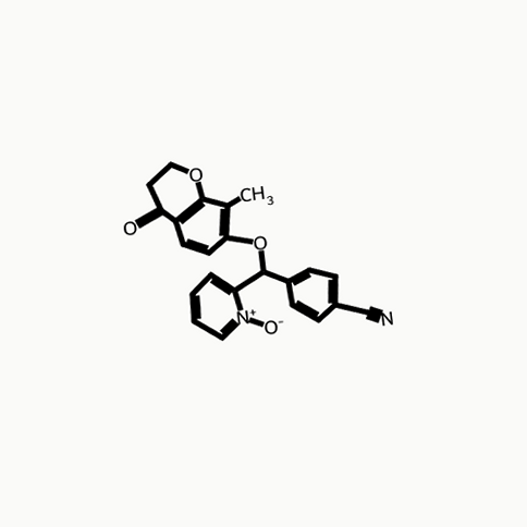 Cc1c(OC(c2ccc(C#N)cc2)c2cccc[n+]2[O-])ccc2c1OCCC2=O